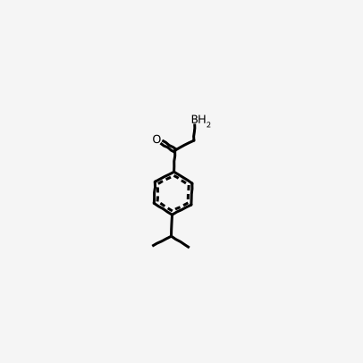 BCC(=O)c1ccc(C(C)C)cc1